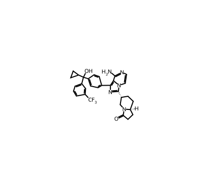 Nc1nccn2c([C@@H]3CC[C@H]4CCC(=O)N4C3)nc(-c3ccc(C(O)(c4cccc(C(F)(F)F)c4)C4CC4)cc3)c12